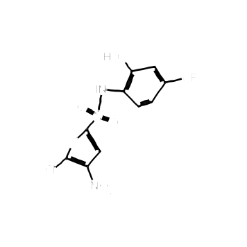 Cc1cc(C(F)(F)F)ccc1NS(=O)(=O)c1cc([N+](=O)[O-])c(Cl)s1